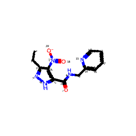 CCc1n[nH]c(C(=O)NCc2ccccn2)c1[N+](=O)[O-]